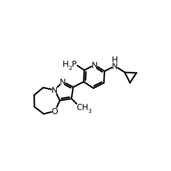 Cc1c(-c2ccc(NC3CC3)nc2P)nn2c1OCCCC2